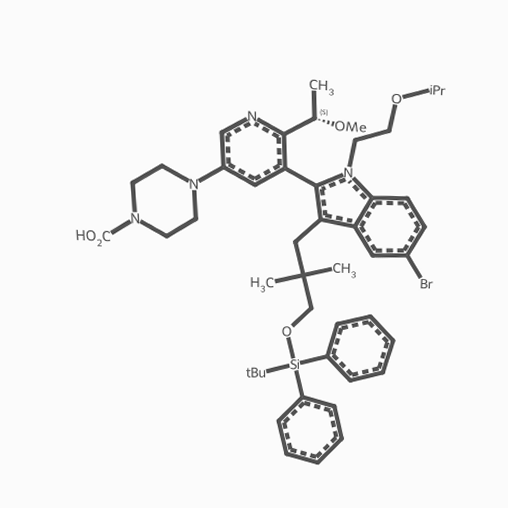 CO[C@@H](C)c1ncc(N2CCN(C(=O)O)CC2)cc1-c1c(CC(C)(C)CO[Si](c2ccccc2)(c2ccccc2)C(C)(C)C)c2cc(Br)ccc2n1CCOC(C)C